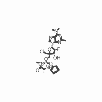 COC(=O)[C@@H](C)N[P@@](=S)(OC[C@@]1(CCl)O[C@@H](n2cnc3c(N(C)C)nc(C)nc32)[C@@H](F)[C@@H]1O)Oc1ccccc1